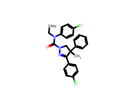 COCN(C(=O)N1CC(C)(c2ccccc2)C(c2ccc(Cl)cc2)=N1)c1ccc(Cl)cc1